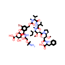 CCC(C)[C@@H]([C@@H](CC(=O)N1CCC[C@H]1[C@H](OC)[C@@H](C)C(=O)NC(Cc1ccccc1)C(=O)O)OC)N(C)C(=O)[C@@H](NC(=O)[C@H](C(C)C)N(C)C(=O)OCc1cc(Br)c(O[C@@H]2O[C@H](C(=O)O)[C@@H](O)[C@H](O)C2O)c(C(=O)NCCOC(C)(C)N)c1)C(C)C